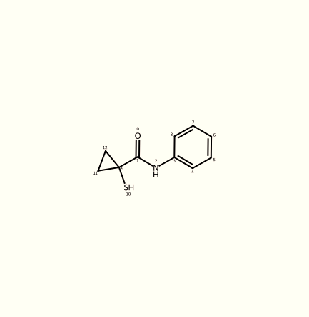 O=C(Nc1ccccc1)C1(S)CC1